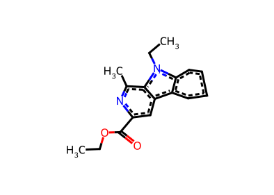 CCOC(=O)c1cc2c3ccccc3n(CC)c2c(C)n1